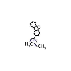 C\C=C/N=C(\C=C/C)c1ccc2oc3ccccc3c2c1